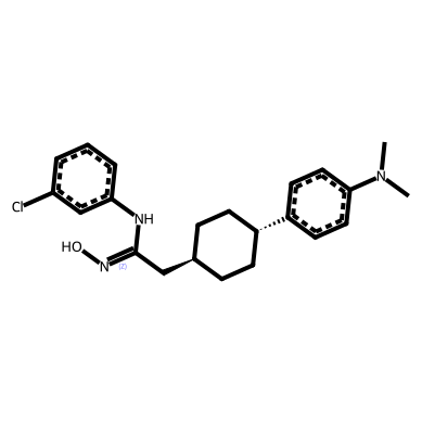 CN(C)c1ccc([C@H]2CC[C@H](C/C(=N/O)Nc3cccc(Cl)c3)CC2)cc1